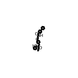 CCOC(=O)C(Cc1ccc(OCCNC(=O)c2ccc(-c3ccccc3)cc2)cc1)Nc1ccccc1